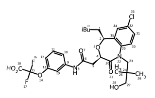 CCC(C)C[C@@H]1O[C@H](CC(=O)Nc2cccc(OC(F)(F)C(=O)O)c2)C(=O)N(CC(C)(C)CO)c2ccc(Cl)cc21